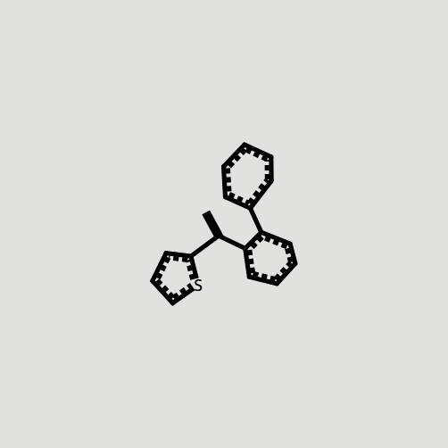 C=C(c1cccs1)c1ccccc1-c1ccccc1